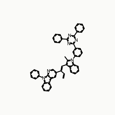 C=C/C(=C\c1c(C)n(-c2cccc(-c3nc(-c4ccccc4)nc(-c4ccccc4)n3)c2)c2ccccc12)c1cnc2c(c1)c1ccccc1n2-c1ccccc1